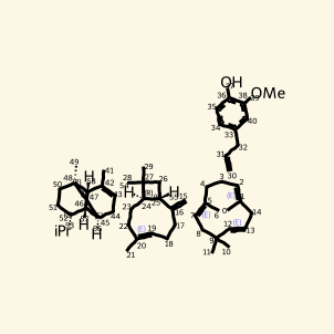 C/C1=C\CC/C(C)=C/CC(C)(C)/C=C/C1.C=C1CC/C=C(\C)CC[C@@H]2[C@@H]1CC2(C)C.C=CCc1ccc(O)c(OC)c1.CC1=CC[C@H]2[C@H]3[C@@H]1[C@]2(C)CC[C@H]3C(C)C